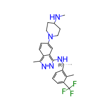 CNC1CCN(c2ccc3c(C)nnc(N[C@H](C)c4cccc(C(F)(F)F)c4C)c3c2)CC1